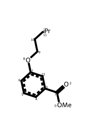 COC(=O)c1cccc(OCCC(C)C)c1